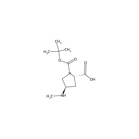 CN[C@@H]1C[C@@H](C(=O)O)N(C(=O)OC(C)(C)C)C1